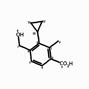 Cc1c(C(=O)O)ccc(CO)c1C1CC1